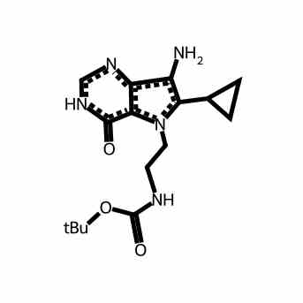 CC(C)(C)OC(=O)NCCn1c(C2CC2)c(N)c2nc[nH]c(=O)c21